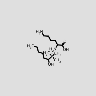 CCCCCC(O)[PH](C)(C)C.NCCCCC(N)C(=O)O